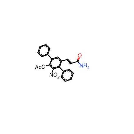 CC(=O)Oc1c(-c2ccccc2)cc(C=CC(N)=O)c(-c2ccccc2)c1[N+](=O)[O-]